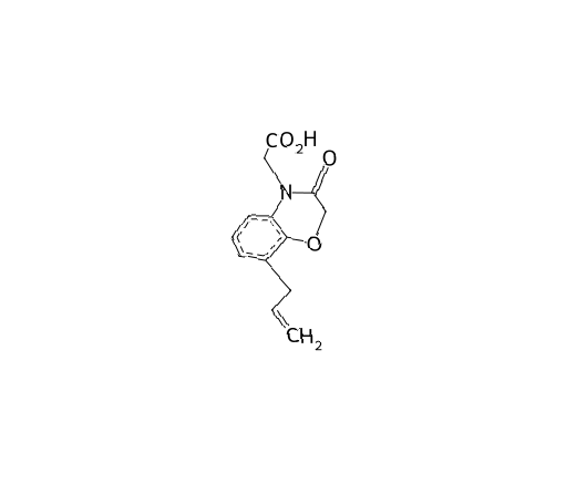 C=CCc1cccc2c1OCC(=O)N2CC(=O)O